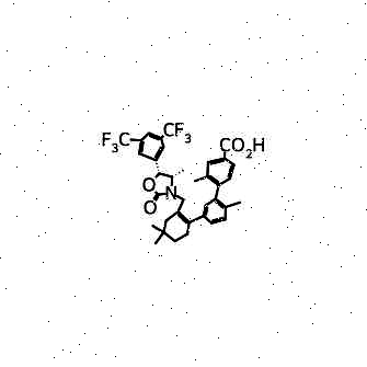 Cc1cc(C(=O)O)ccc1-c1cc(C2=C(CN3C(=O)O[C@H](c4cc(C(F)(F)F)cc(C(F)(F)F)c4)[C@@H]3C)CC(C)(C)CC2)ccc1C